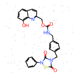 O=C(NCc1ccc(Cn2c(=O)sn(-c3ccccc3)c2=O)cc1)OCc1ccc2cccc(O)c2n1